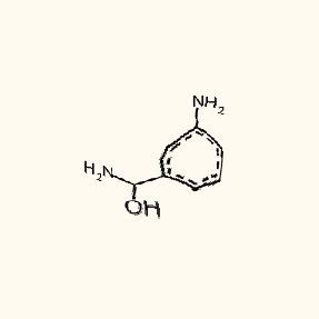 Nc1cccc(C(N)O)c1